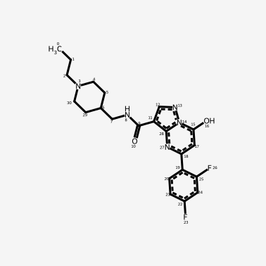 CCCN1CCC(CNC(=O)c2cnn3c(O)cc(-c4ccc(F)cc4F)nc23)CC1